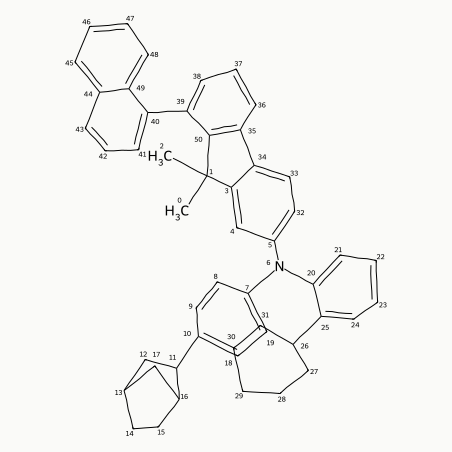 CC1(C)c2cc(N(c3ccc(C4CC5CCC4C5)cc3)c3ccccc3C3CCCCC3)ccc2-c2cccc(-c3cccc4ccccc34)c21